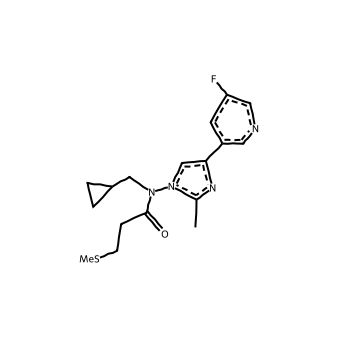 CSCCC(=O)N(CC1CC1)n1cc(-c2cncc(F)c2)nc1C